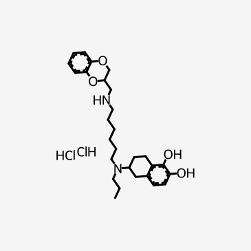 CCCN(CCCCCCNCC1COc2ccccc2O1)C1CCc2c(ccc(O)c2O)C1.Cl.Cl